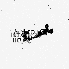 CC(=O)NC(CC(=O)O)C(=O)NC(CC(=O)O)C(=O)NC(CC(=O)O)C(=O)NCCCCCCOc1cccc(Cc2nc3c(Cc4ccccc4)[nH]c(-c4ccccc4)cn-3c2=O)c1